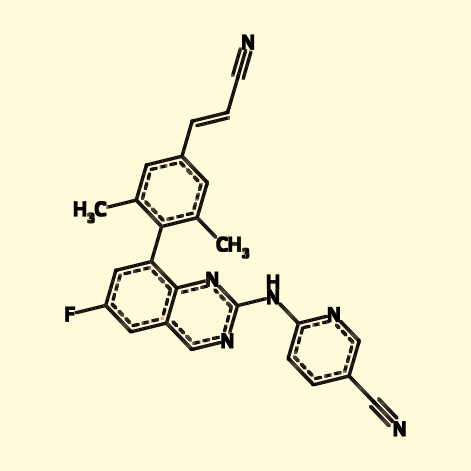 Cc1cc(C=CC#N)cc(C)c1-c1cc(F)cc2cnc(Nc3ccc(C#N)cn3)nc12